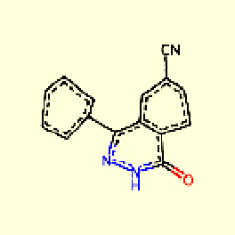 N#Cc1ccc2c(=O)[nH]nc(-c3ccccc3)c2c1